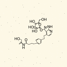 C[C@@H](CO)NC(=O)CCCc1ccc(CCc2ccnc3[nH]nc(O[C@@H]4O[C@H](CO)[C@@H](O)[C@H](O)[C@H]4O)c23)cc1